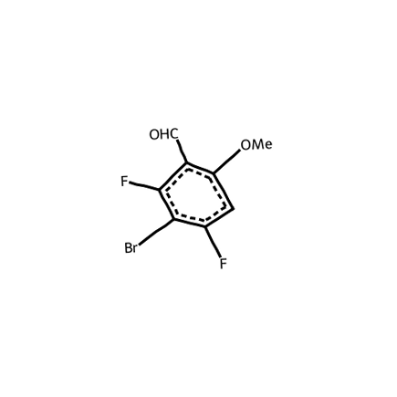 COc1cc(F)c(Br)c(F)c1C=O